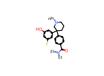 CCCN1CCCC(c2ccc(C(=O)N(CC)CC)cc2)(c2cc(O)cc(F)c2)C1